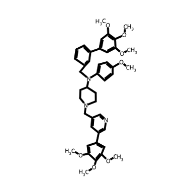 COc1ccc(N(Cc2cccc(-c3cc(OC)c(OC)c(OC)c3)c2)C2CCN(Cc3cncc(-c4cc(OC)c(OC)c(OC)c4)c3)CC2)cc1